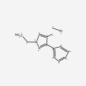 CCC.Cc1cn(CC(=O)O)nc1-c1ccccc1